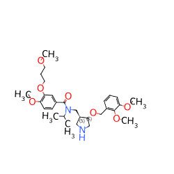 COCCCOc1cc(C(=O)N(C[C@@H]2CNC[C@H]2OCc2cccc(OC)c2OC)C(C)C)ccc1OC